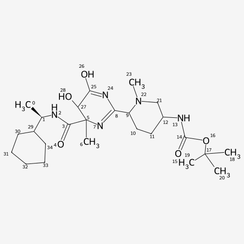 C[C@@H](NC(=O)C1(C)N=C(C2CCC(NC(=O)OC(C)(C)C)CN2C)N=C(O)C1O)C1CCCCC1